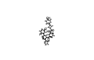 CN1CCN(C2CC(C(=O)Nc3cc(Nc4cc(-c5cc(Cl)ccc5F)nnc4C4CCCS4)ncn3)C2)CC1